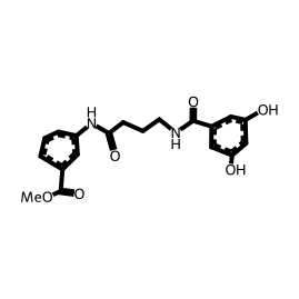 COC(=O)c1cccc(NC(=O)CCCNC(=O)c2cc(O)cc(O)c2)c1